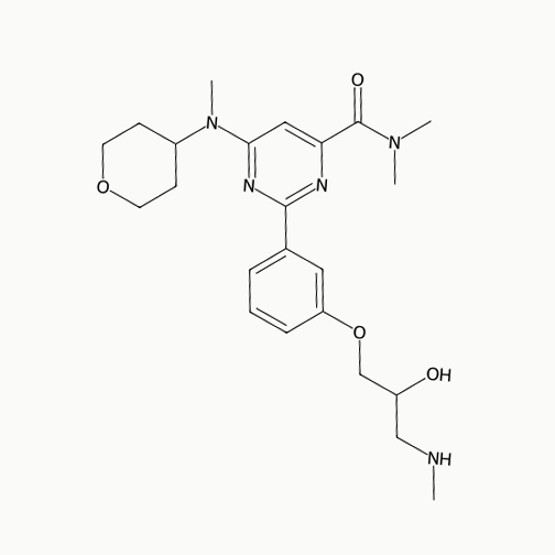 CNCC(O)COc1cccc(-c2nc(C(=O)N(C)C)cc(N(C)C3CCOCC3)n2)c1